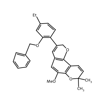 CCc1ccc(C2=Cc3cc(OC)c4c(c3OC2)C=CC(C)(C)O4)c(OCc2ccccc2)c1